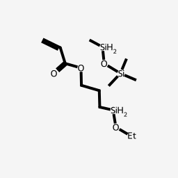 C=CC(=O)OCCC[SiH2]OCC.C[SiH2]O[Si](C)(C)C